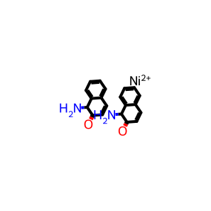 NC1C(=O)C=Cc2ccccc21.NC1C(=O)C=Cc2ccccc21.[Ni+2]